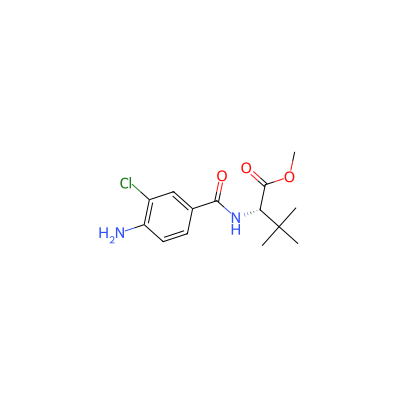 COC(=O)[C@@H](NC(=O)c1ccc(N)c(Cl)c1)C(C)(C)C